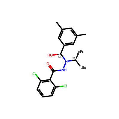 CCC[C@H](N(NC(=O)c1c(Cl)cccc1Cl)[C@@H](O)c1cc(C)cc(C)c1)C(C)(C)C